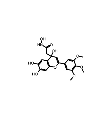 COc1cc(C2=CC(O)(CC(=O)NO)c3cc(O)c(O)cc3O2)cc(OC)c1OC